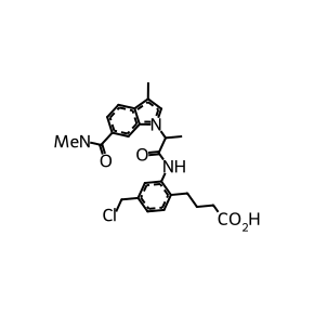 CNC(=O)c1ccc2c(C)cn(C(C)C(=O)Nc3cc(CCl)ccc3CCCC(=O)O)c2c1